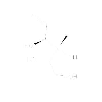 C[C@@H](O)[C@H](O)[C@@](C)(O)[C@@H](O)C=O